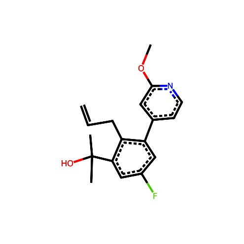 C=CCc1c(-c2ccnc(OC)c2)cc(F)cc1C(C)(C)O